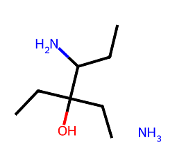 CCC(N)C(O)(CC)CC.N